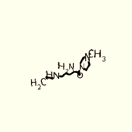 C=CCNCCC[C@H](N)C(=O)N1CCN(C)CC1